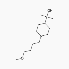 COCCCCN1CCC(C(C)(C)O)CC1